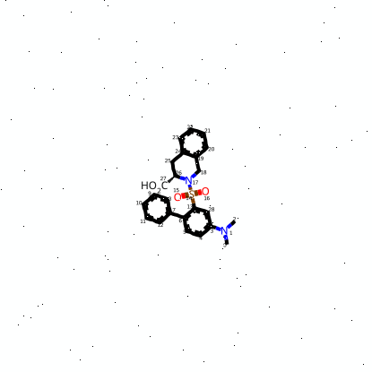 CN(C)c1ccc(-c2ccccc2)c(S(=O)(=O)N2Cc3ccccc3C[C@@H]2C(=O)O)c1